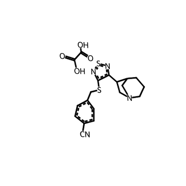 N#Cc1ccc(CSc2nsnc2C2CN3CCCC2C3)cc1.O=C(O)C(=O)O